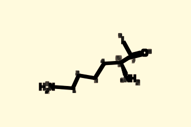 NCCCC[C@H](N)C(=O)I